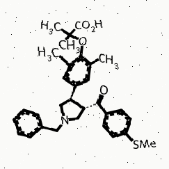 CSc1ccc(C(=O)[C@@H]2CN(Cc3ccccc3)C[C@H]2c2cc(C)c(OC(C)(C)C(=O)O)c(C)c2)cc1